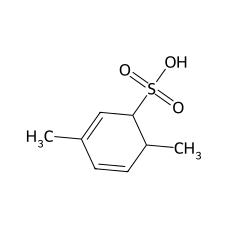 CC1=CC(S(=O)(=O)O)C(C)C=C1